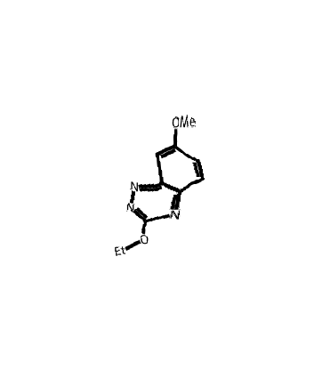 CCOc1nnc2cc(OC)ccc2n1